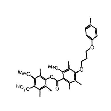 COc1c(C)c(OC(=O)c2c(C)c(C)c(OCCCOc3ccc(C)cc3)c(C)c2OC)c(C)c(C)c1C(=O)O